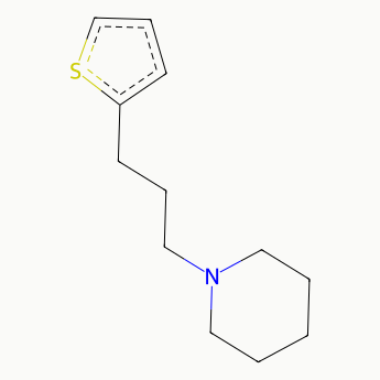 c1csc(CCCN2CCCCC2)c1